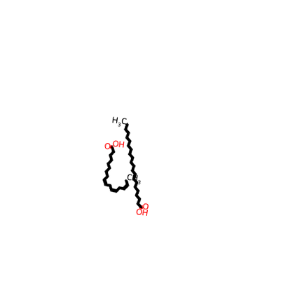 CC/C=C\C/C=C\C/C=C\CCCCCCCC(=O)O.CCCCCCCCCCCCCCCCCCCCCC(=O)O